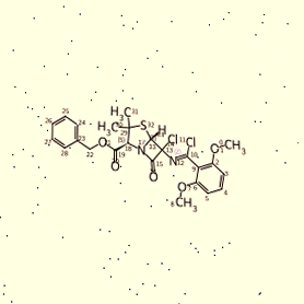 COc1cccc(OC)c1/C(Cl)=N/C1(Cl)C(=O)N2[C@@H](C(=O)OCc3ccccc3)C(C)(C)S[C@@H]21